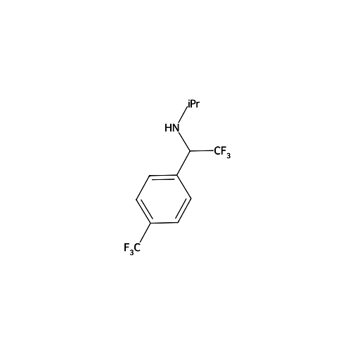 CC(C)NC(c1ccc(C(F)(F)F)cc1)C(F)(F)F